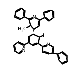 CC1C(c2ccccc2)=NC(c2ccccc2)=CC1[C@H]1C=C(c2ccccn2)C=C(c2ccc(-c3ccccc3)cn2)C1I